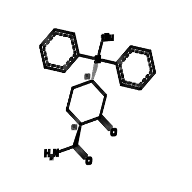 CC(C)(C)[Si](c1ccccc1)(c1ccccc1)[C@H]1CC[C@H](C(N)=O)C(=O)C1